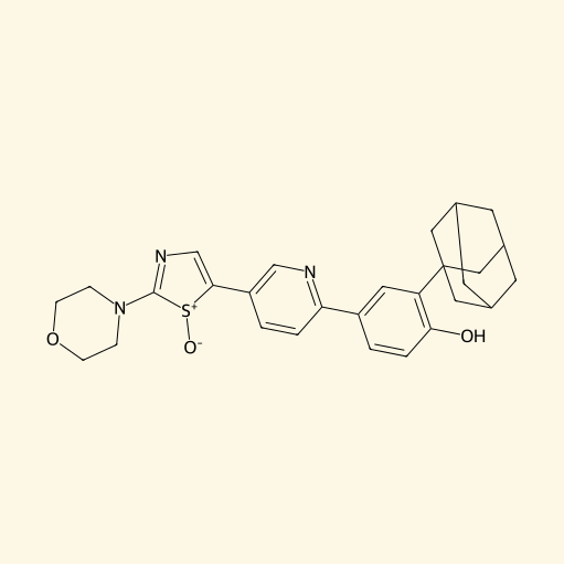 [O-][s+]1c(-c2ccc(-c3ccc(O)c(C45CC6CC(CC(C6)C4)C5)c3)nc2)cnc1N1CCOCC1